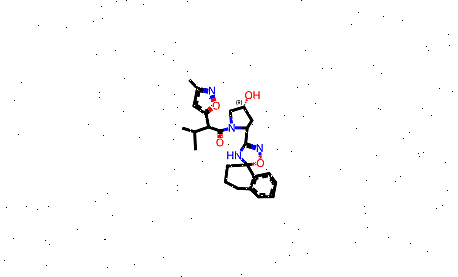 Cc1cc(C(C(=O)N2C[C@H](O)CC2C2=NOC3(CCCc4ccccc43)N2)C(C)C)on1